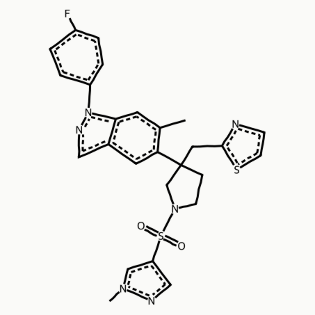 Cc1cc2c(cnn2-c2ccc(F)cc2)cc1C1(Cc2nccs2)CCN(S(=O)(=O)c2cnn(C)c2)C1